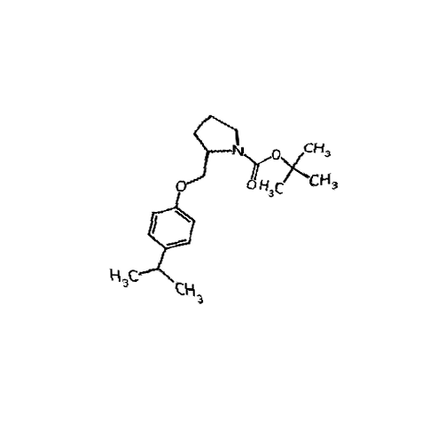 CC(C)c1ccc(OCC2CCCN2C(=O)OC(C)(C)C)cc1